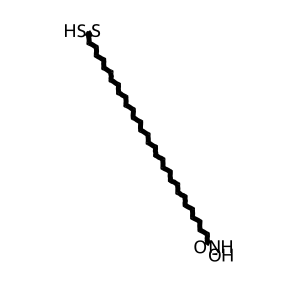 O=C(CCCCCCCCCCCCCCCCCCCCCCCCCCCCCCCCC(=S)S)NO